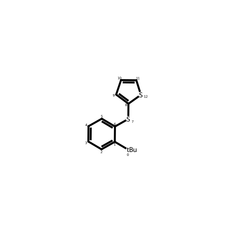 CC(C)(C)c1ccccc1Sc1cccs1